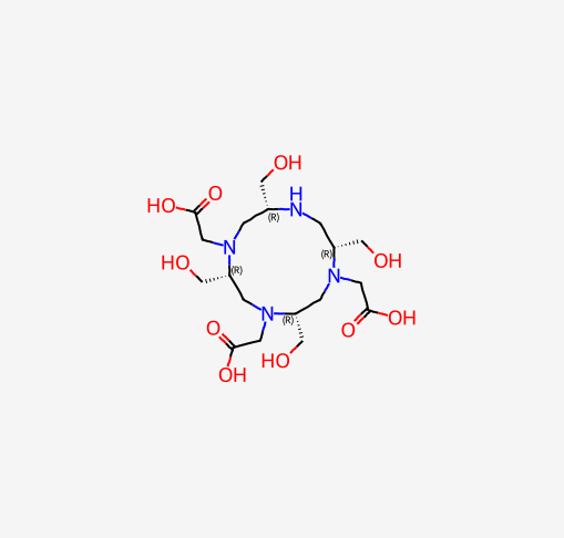 O=C(O)CN1C[C@H](CO)NC[C@H](CO)N(CC(=O)O)C[C@H](CO)N(CC(=O)O)C[C@@H]1CO